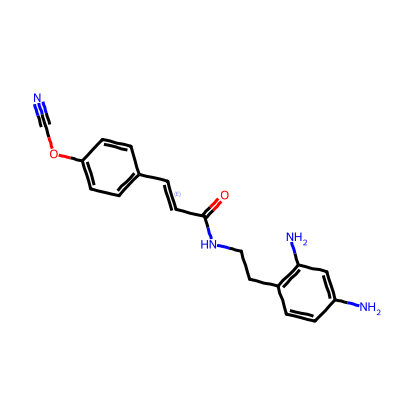 N#COc1ccc(/C=C/C(=O)NCCc2ccc(N)cc2N)cc1